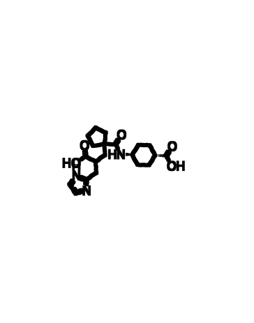 O=C(O)C(Cc1ncc[nH]1)CC1(C(=O)N[C@H]2CC[C@@H](C(=O)O)CC2)CCCC1